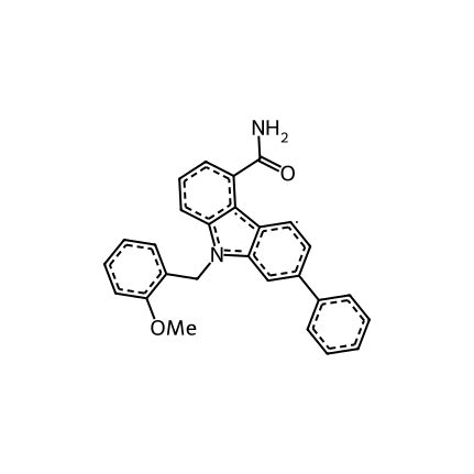 COc1ccccc1Cn1c2cc(-c3ccccc3)c[c]c2c2c(C(N)=O)cccc21